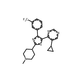 CN1CCC(c2nc(-c3cccc(C(F)(F)F)c3)c(-c3n[c]ncc3C3CC3)s2)CC1